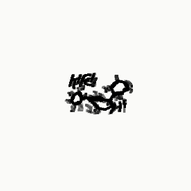 Cl.Cl.[Hf][C]1=C(c2ccccc2)C=C(c2ccccc2)C1